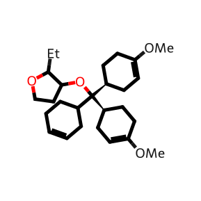 CCC1OCCC1OC(C1CC=CCC1)([C@@H]1CC=C(OC)CC1)[C@@H]1CC=C(OC)CC1